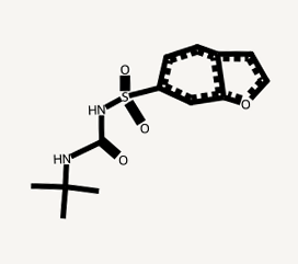 CC(C)(C)NC(=O)NS(=O)(=O)c1ccc2ccoc2c1